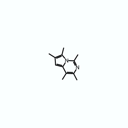 Cc1cc2c(C)c(C)nc(C)n2c1C